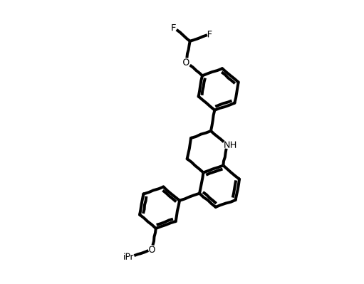 CC(C)Oc1cccc(-c2cccc3c2CCC(c2cccc(OC(F)F)c2)N3)c1